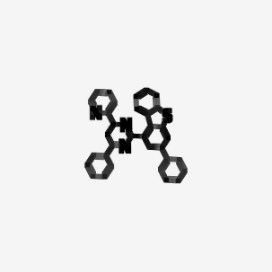 c1ccc(C2=NC(c3cc(-c4ccccc4)cc4sc5ccccc5c34)=NC(c3ccccn3)C2)cc1